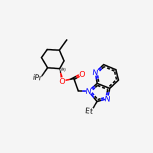 CCc1nc2cccnc2n1CC(=O)O[C@@H]1CC(C)CCC1C(C)C